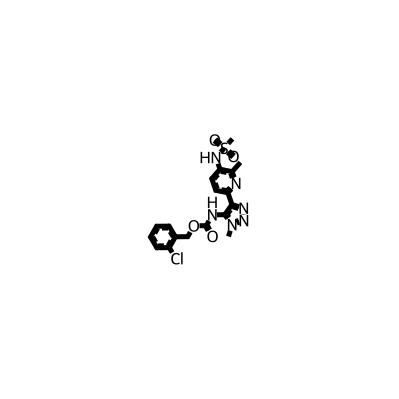 Cc1nc(-c2nnn(C)c2NC(=O)OCc2ccccc2Cl)ccc1NS(C)(=O)=O